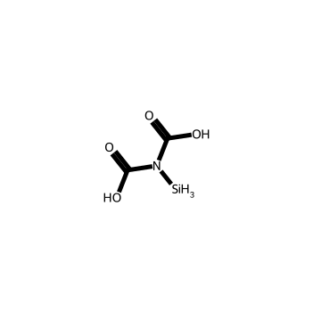 O=C(O)N([SiH3])C(=O)O